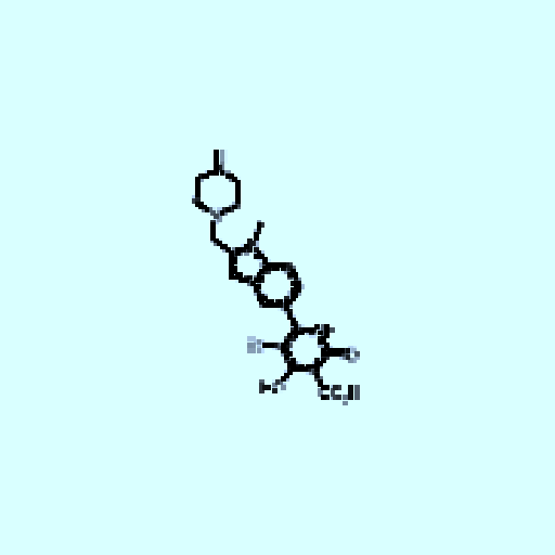 CCc1c(-c2ccc3c(c2)cc(CN2CCNCC2)n3C)[nH]c(=O)c(C(=O)O)c1O